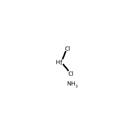 N.[Cl][Hf][Cl]